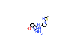 COc1cccc2c1nc(N)n1nc([C@@H]3CCCN(c4ncc(C)s4)C3)nc21